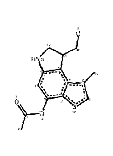 CC(=O)Oc1cc2c(c3c(C)csc13)C(CCl)CN2